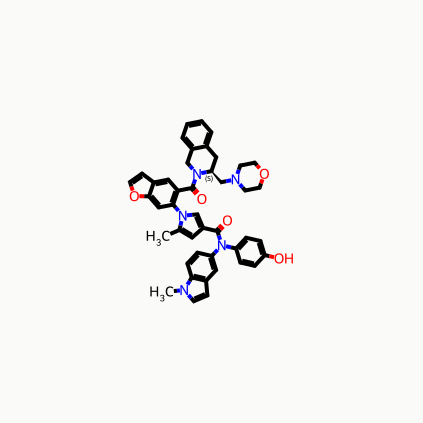 Cc1cc(C(=O)N(c2ccc(O)cc2)c2ccc3c(ccn3C)c2)cn1-c1cc2occc2cc1C(=O)N1Cc2ccccc2C[C@H]1CN1CCOCC1